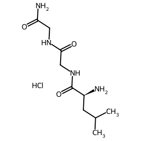 CC(C)C[C@H](N)C(=O)NCC(=O)NCC(N)=O.Cl